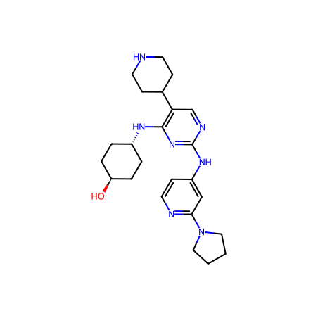 O[C@H]1CC[C@H](Nc2nc(Nc3ccnc(N4CCCC4)c3)ncc2C2CCNCC2)CC1